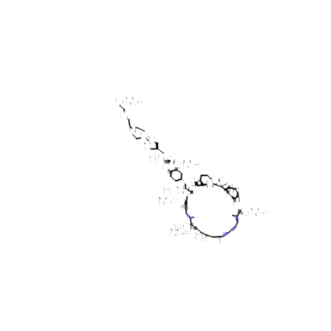 COCCOCCN1CCN(c2ncc(CNC(=O)O[C@@H]3CC[C@@H](C[C@@H](N)[C@@H]4C[C@@H](OC)[C@H](C)/C=C(\C)[C@@H](O)[C@@H](OC)C(=O)[C@H](C)C[C@H](C)/C=C/C=C/C=C(\C)[C@@H](OC)C[C@@H]5CC[C@@H](C)[C@@](O)(O5)C(=O)C(=O)N5CCCC[C@H]5C(=O)O4)C[C@H]3OC)cn2)CC1